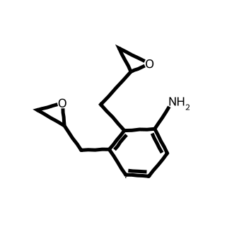 Nc1cc[c]c(CC2CO2)c1CC1CO1